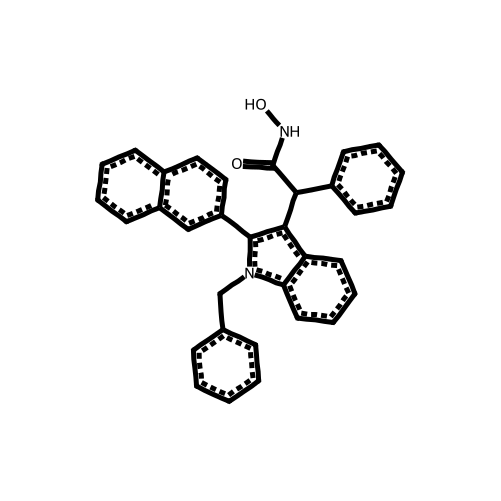 O=C(NO)C(c1ccccc1)c1c(-c2ccc3ccccc3c2)n(Cc2ccccc2)c2ccccc12